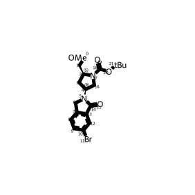 COC[C@@H]1C[C@@H](N2Cc3ccc(Br)cc3C2=O)CN1C(=O)OC(C)(C)C